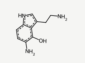 NCCc1c[nH]c2ccc(N)c(O)c12